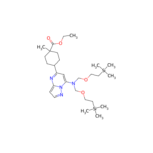 CCOC(=O)C1(C)CCC(c2cc(N(COCC[Si](C)(C)C)COCC[Si](C)(C)C)n3nccc3n2)CC1